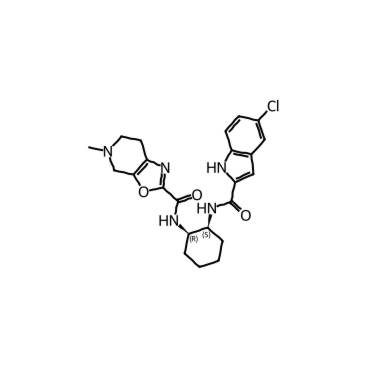 CN1CCc2nc(C(=O)N[C@@H]3CCCC[C@@H]3NC(=O)c3cc4cc(Cl)ccc4[nH]3)oc2C1